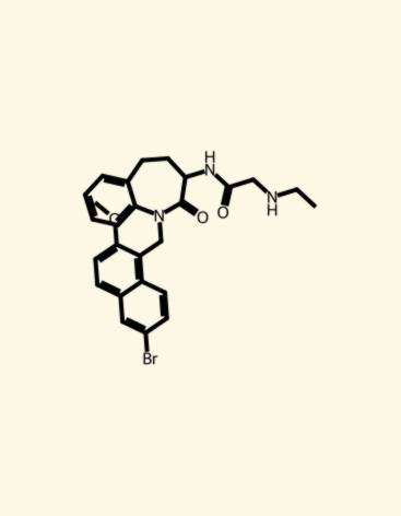 CCNCC(=O)NC1CCc2ccccc2N(Cc2c(OC)ccc3cc(Br)ccc23)C1=O